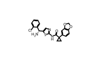 N[C@@H](c1cnc(NC(=O)C2(c3ccc4c(c3)OCO4)CC2)s1)c1ccccc1Cl